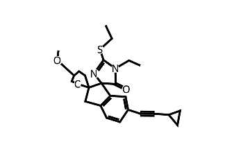 CCSC1=NC2(C(=O)N1CC)c1cc(C#CC3CC3)ccc1CC21CCC(OC)CC1